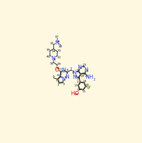 Cc1ccn2nc(Cn3nc(-c4cc(O)cc(F)c4)c4c(N)ncnc43)nc(OCCN3CCC(CN(C)C)CC3)c12